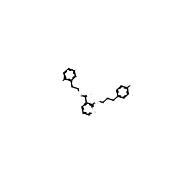 Cc1ccccc1CCNC(=O)c1cccnc1SCCCc1ccc(F)cc1